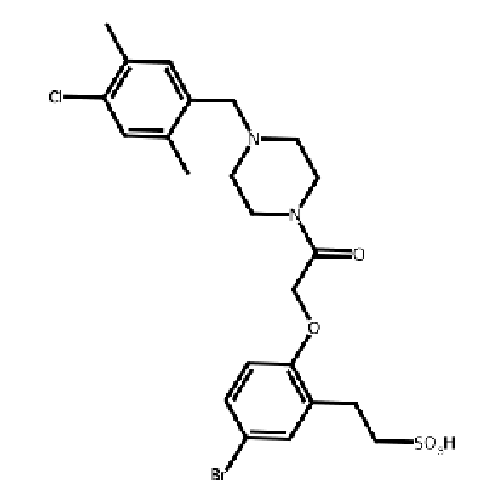 Cc1cc(CN2CCN(C(=O)COc3ccc(Br)cc3CCS(=O)(=O)O)CC2)c(C)cc1Cl